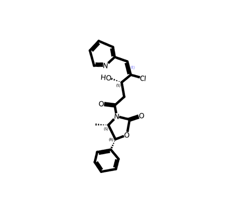 C[C@H]1[C@@H](c2ccccc2)OC(=O)N1C(=O)C[C@H](O)/C(Cl)=C\c1ccccn1